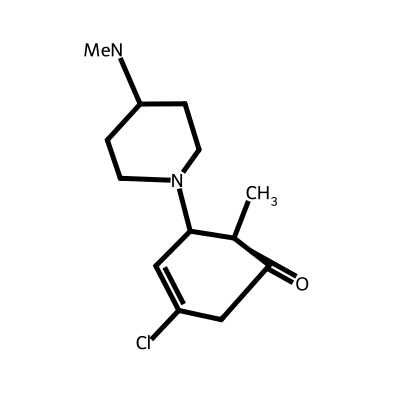 CNC1CCN(C2C=C(Cl)CC(=O)C2C)CC1